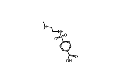 CN(C)CCNS(=O)(=O)c1ccc(C(=O)O)cc1